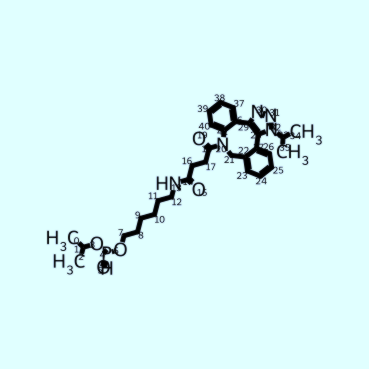 CC(C)O[PH](=O)OCCCCCCNC(=O)CCC(=O)N1Cc2ccccc2-c2c(nnn2C(C)C)-c2ccccc21